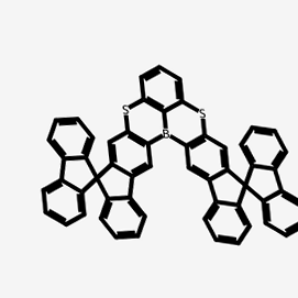 c1cc2c3c(c1)Sc1cc4c(cc1B3c1cc3c(cc1S2)C1(c2ccccc2-c2ccccc21)c1ccccc1-3)-c1ccccc1C41c2ccccc2-c2ccccc21